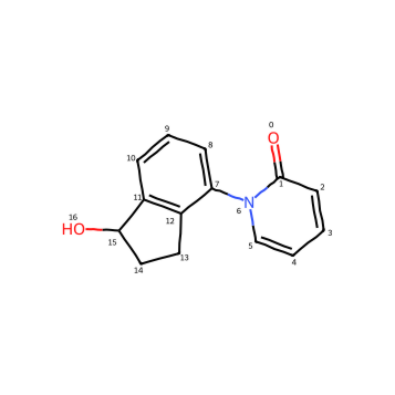 O=c1ccccn1-c1cccc2c1CCC2O